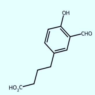 O=Cc1cc(CCCC(=O)O)ccc1O